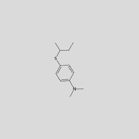 CCC(C)Sc1ccc(N(C)C)cc1